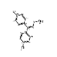 OCC=C(c1ccc(Cl)cc1)c1ccc(I)cc1